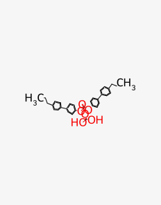 CCCc1ccc(-c2ccc(OC(=O)Oc3ccc(-c4ccc(CCC)cc4)cc3)cc2)cc1.O=C(O)O